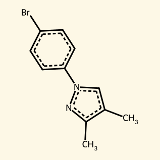 Cc1cn(-c2ccc(Br)cc2)nc1C